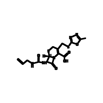 C=CCNC(=O)NC1C(=O)N2C(C(=O)O)=C(CSc3nnc(C)o3)CS[C@@H]12